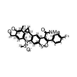 CNC(=O)C1=C(c2ccc(F)cc2)OSc2cc(N(c3cc(C)c4c(c3)COO4)[S+](C)[O-])c(C3CC3)cc21